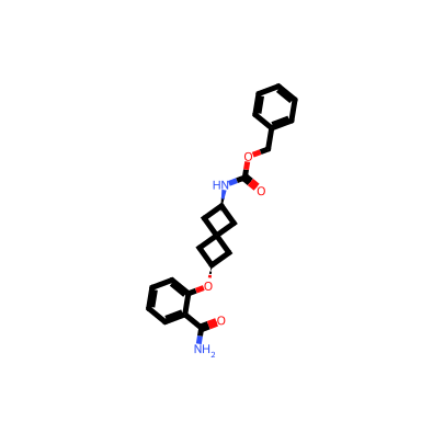 NC(=O)c1ccccc1O[C@H]1CC2(C[C@H](NC(=O)OCc3ccccc3)C2)C1